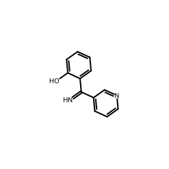 N=C(c1cccnc1)c1ccccc1O